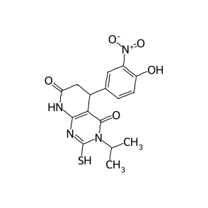 CC(C)n1c(S)nc2c(c1=O)C(c1ccc(O)c([N+](=O)[O-])c1)CC(=O)N2